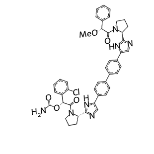 CO[C@@H](C(=O)N1CCC[C@H]1c1ncc(-c2ccc(-c3ccc(-c4cnc([C@@H]5CCCN5C(=O)[C@H](OC(N)=O)c5ccccc5Cl)[nH]4)cc3)cc2)[nH]1)c1ccccc1